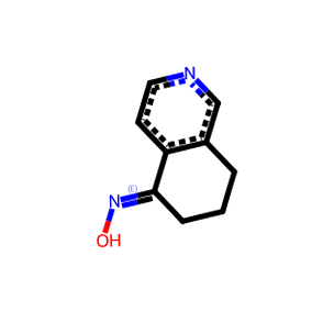 O/N=C1\CCCc2cnccc21